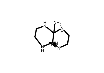 NC12NCCNC13NCCNN3CCN2